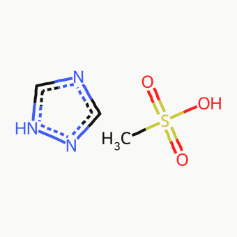 CS(=O)(=O)O.c1nc[nH]n1